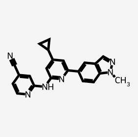 Cn1ncc2cc(-c3cc(C4CC4)cc(Nc4cc(C#N)ccn4)n3)ccc21